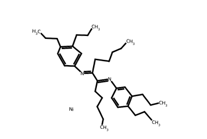 CCCCCC(=Nc1ccc(CCC)c(CCC)c1)C(CCCCC)=Nc1ccc(CCC)c(CCC)c1.[Ni]